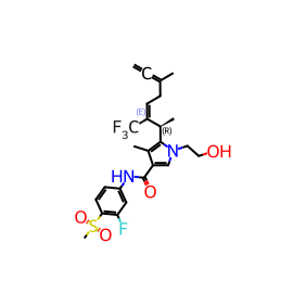 C=C=C(C)C/C=C(\[C@@H](C)c1c(C)c(C(=O)Nc2ccc(S(C)(=O)=O)c(F)c2)cn1CCO)C(F)(F)F